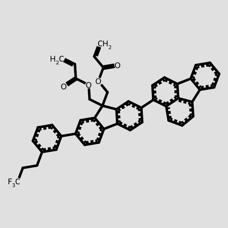 C=CC(=O)OCC1(COC(=O)C=C)c2cc(-c3cccc(CCC(F)(F)F)c3)ccc2-c2ccc(-c3ccc4c5c(cccc35)-c3ccccc3-4)cc21